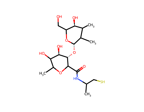 CC(CS)NC(=O)C1OC(C)C(O)[C@@H](O)[C@@H]1O[C@@H]1OC(CO)[C@@H](O)C(C)C1C